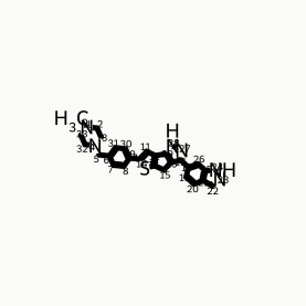 CN1CCN(Cc2ccc(-c3cc4c(s3)Cc3c(-c5ccc6cn[nH]c6c5)n[nH]c3-4)cc2)CC1